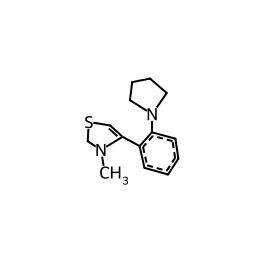 CN1CSC=C1c1ccccc1N1CCCC1